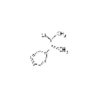 C=C(c1ccccc1)C(C)Cl